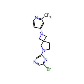 FC(F)(F)c1cc(N2CC3(CCN(c4cncc(Br)n4)C3)C2)ccn1